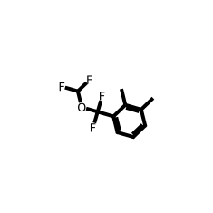 Cc1cccc(C(F)(F)OC(F)F)c1C